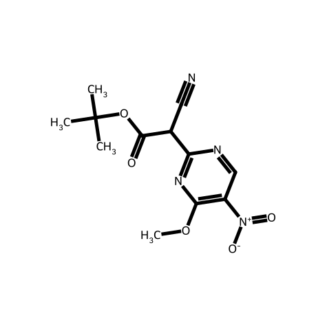 COc1nc(C(C#N)C(=O)OC(C)(C)C)ncc1[N+](=O)[O-]